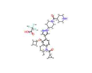 C[C@H]1CCc2c(ccc(-c3cnn(C4CCN(C(=O)C5CCNCC5)CC4)c3)c2OC2CCC2)N1C(=O)C1CC1.O=C(O)C(F)(F)F